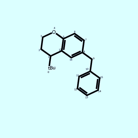 CC(C)(C)C1CCOc2ccc(Cc3ccccc3)cc21